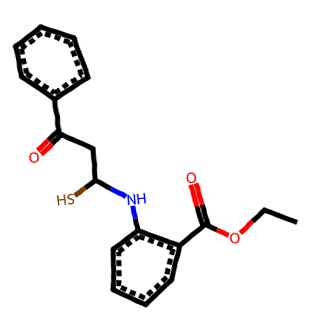 CCOC(=O)c1ccccc1NC(S)CC(=O)c1ccccc1